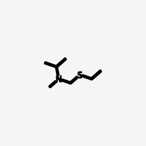 CCSCN(C)C(C)C